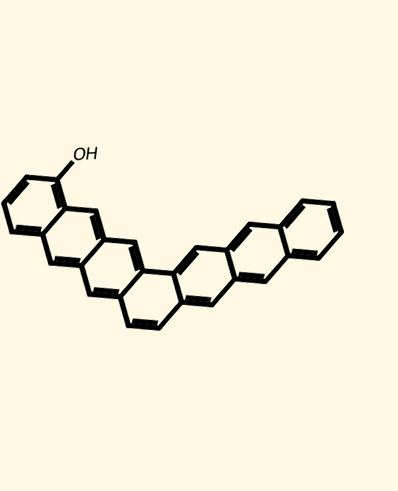 Oc1cccc2cc3cc4ccc5cc6cc7ccccc7cc6cc5c4cc3cc12